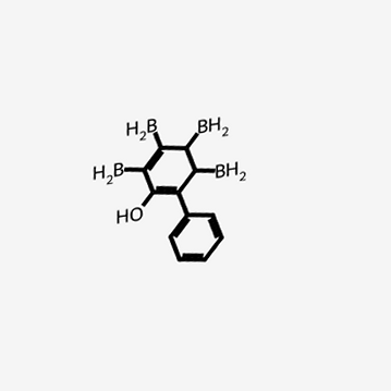 BC1=C(B)C(B)C(B)C(c2ccccc2)=C1O